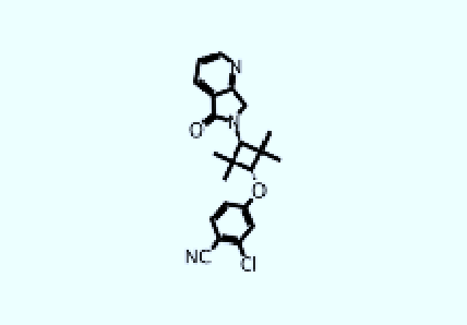 CC1(C)[C@H](Oc2ccc(C#N)c(Cl)c2)C(C)(C)[C@H]1N1Cc2ncccc2C1=O